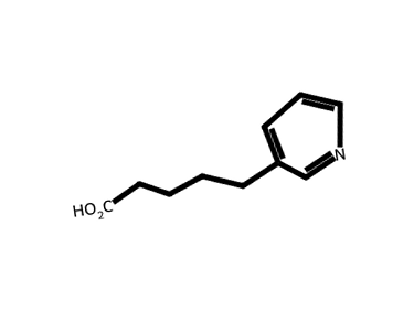 O=C(O)CCCCc1cccnc1